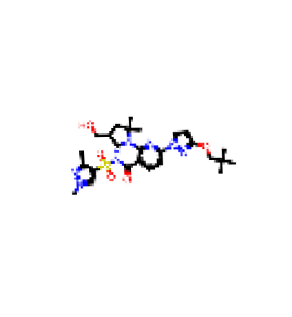 Cc1nn(C)cc1S(=O)(=O)NC(=O)c1ccc(-n2ccc(OCC(C)(C)C)n2)nc1N1CC(CO)CC1(C)C